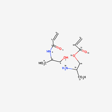 C=CC(=O)NC(CO)C(=O)O.C=CC(=O)OCC(N)C(=O)O